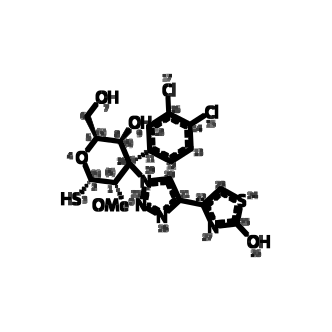 CO[C@@H]1[C@H](S)O[C@@H](CO)[C@@H](O)[C@@]1(c1ccc(Cl)c(Cl)c1)n1cc(-c2csc(O)n2)nn1